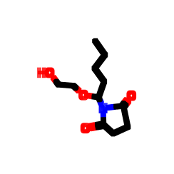 CCCCC(OCCO)N1C(=O)CCC1=O